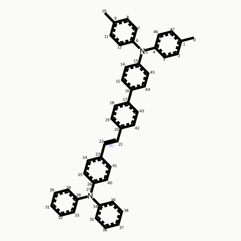 Cc1ccc(N(c2ccc(C)cc2)c2ccc(-c3ccc(/C=C/c4ccc(N(c5ccccc5)c5ccccc5)cc4)cc3)cc2)cc1